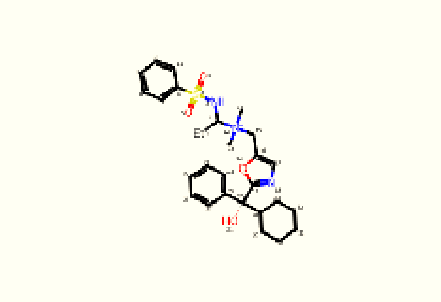 CCC(NS(=O)(=O)c1ccccc1)[N+](C)(C)Cc1cnc([C@](O)(c2ccccc2)C2CCCCC2)o1